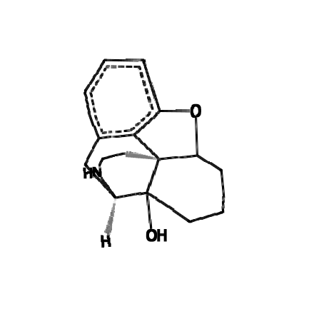 OC12CCCC3Oc4cccc5c4[C@@]31CCN[C@@H]2C5